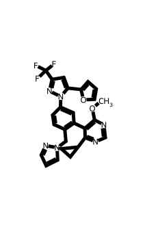 COc1ncnc(C2CC2)c1-c1cc(-n2nc(C(F)(F)F)cc2-c2ccco2)ccc1Cn1cccn1